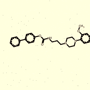 COc1ccccc1N1CCN(CCCNC(=O)Oc2ccc(-c3ccccc3)cc2)CC1